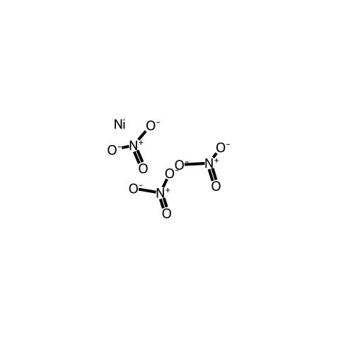 O=[N+]([O-])[O-].O=[N+]([O-])[O-].O=[N+]([O-])[O-].[Ni]